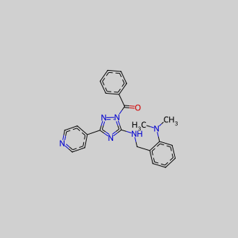 CN(C)c1ccccc1CNc1nc(-c2ccncc2)nn1C(=O)c1ccccc1